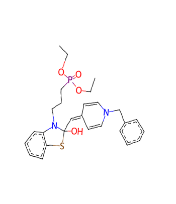 CCOP(=O)(CCCN1c2ccccc2SC1(O)C=C1C=CN(Cc2ccccc2)C=C1)OCC